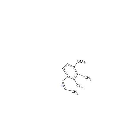 C/C=C\c1ccc(OC)c(C)c1C